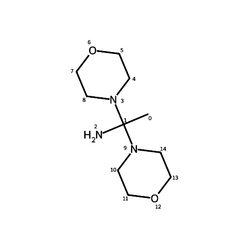 CC(N)(N1CCOCC1)N1CCOCC1